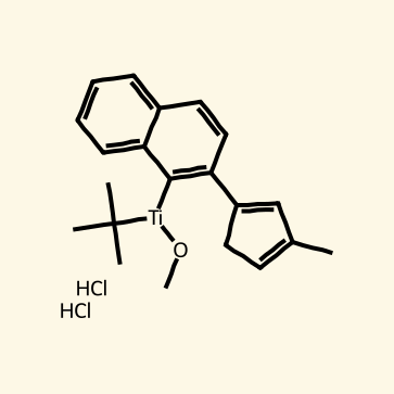 C[O][Ti]([c]1c(C2=CC(C)=CC2)ccc2ccccc12)[C](C)(C)C.Cl.Cl